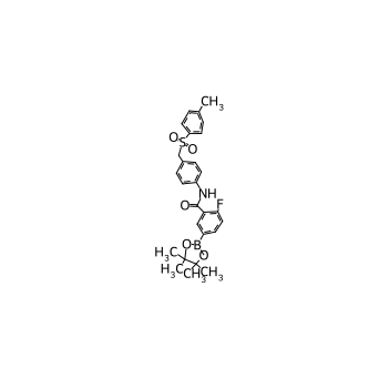 Cc1ccc(S(=O)(=O)Cc2ccc(NC(=O)c3cc(B4OC(C)(C)C(C)(C)O4)ccc3F)cc2)cc1